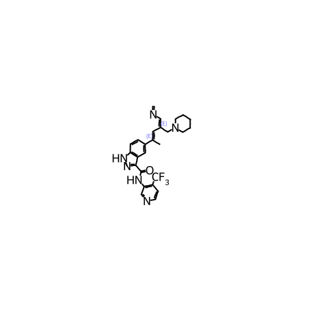 C=N/C=C(\C=C(/C)c1ccc2[nH]nc(C(=O)Nc3cnccc3C(F)(F)F)c2c1)CN1CCCCC1